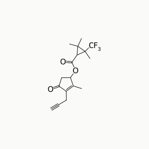 C#CCC1=C(C)C(OC(=O)C2C(C)(C)C2(C)C(F)(F)F)CC1=O